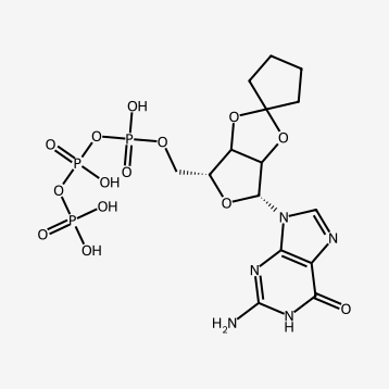 Nc1nc2c(ncn2[C@@H]2O[C@H](COP(=O)(O)OP(=O)(O)OP(=O)(O)O)C3OC4(CCCC4)OC32)c(=O)[nH]1